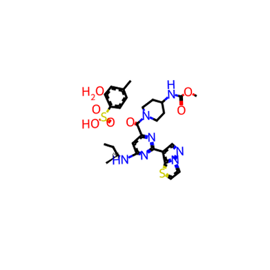 CC[C@H](C)Nc1cc(C(=O)N2CCC(NC(=O)OC)CC2)nc(-c2cnn3ccsc23)n1.Cc1ccc(S(=O)(=O)O)cc1.O